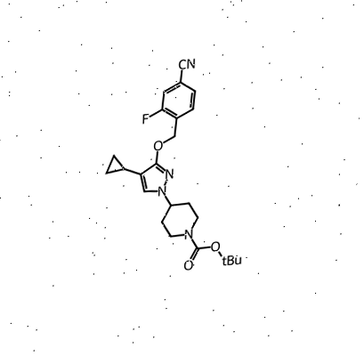 CC(C)(C)OC(=O)N1CCC(n2cc(C3CC3)c(OCc3ccc(C#N)cc3F)n2)CC1